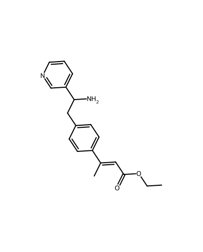 CCOC(=O)C=C(C)c1ccc(CC(N)c2cccnc2)cc1